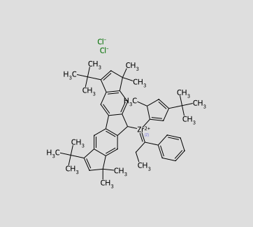 CC/[C](c1ccccc1)=[Zr+2](/[C]1=CC(C(C)(C)C)=CC1C)[CH]1c2cc3c(cc2-c2cc4c(cc21)C(C)(C)C=C4C(C)(C)C)C(C(C)(C)C)=CC3(C)C.[Cl-].[Cl-]